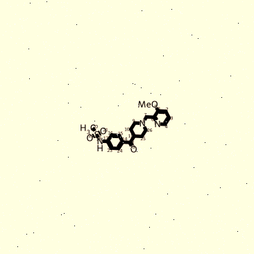 COc1cccnc1CN1CCC(C(=O)c2ccc(NS(C)(=O)=O)cc2)CC1